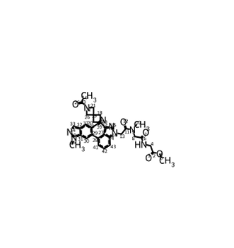 COC(=O)CNC(=O)CN(C)C(=O)Cn1nc(C2CC3(C2)CN(C(C)=O)C3)c2c(-c3cc4c(cnn4C)cc3C#N)cccc21